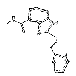 CNC(=O)c1cccc2[nH]c(SCc3ccccn3)nc12